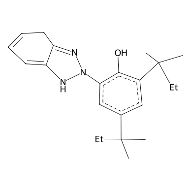 CCC(C)(C)c1cc(N2N=C3CC=CC=C3N2)c(O)c(C(C)(C)CC)c1